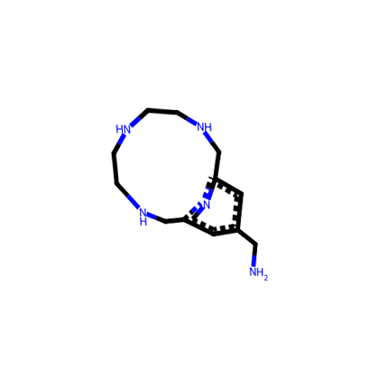 NCc1cc2nc(c1)CNCCNCCNC2